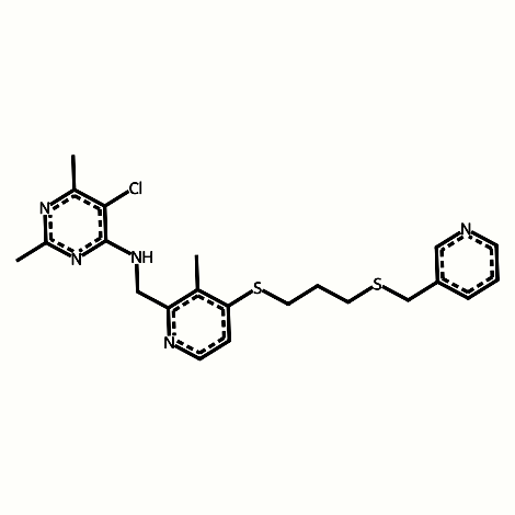 Cc1nc(C)c(Cl)c(NCc2nccc(SCCCSCc3cccnc3)c2C)n1